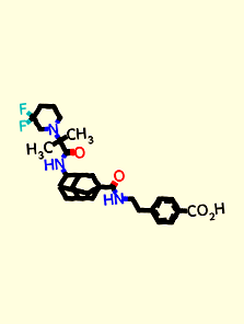 CC(C)(C(=O)NC1C2CC3CC1CC(C(=O)NCCc1ccc(C(=O)O)cc1)(C3)C2)N1CCCC(F)(F)C1